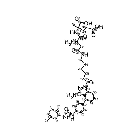 Cc1ccc(F)c(NC(=O)Nc2ccc(-c3cccc4c3c(N)nn4C(=O)CCCCCNC(=O)C[C@H](N)C(=O)NC(C)(CCC(=O)O)C(=O)O)cc2)c1